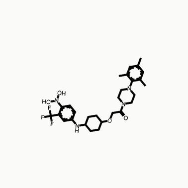 Cc1cc(C)c(N2CCN(C(=O)COC3CCC(Nc4ccc(N(O)O)c(C(F)(F)F)c4)CC3)CC2)c(C)c1